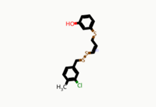 Cc1ccc(CSS/C=C\CSc2cccc(O)c2)cc1Cl